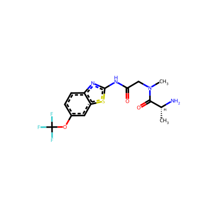 C[C@@H](N)C(=O)N(C)CC(=O)Nc1nc2ccc(OC(F)(F)F)cc2s1